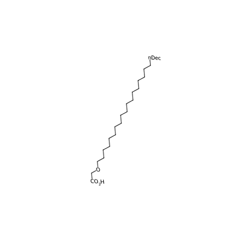 CCCCCCCCCCCCCCCCCCCCCCCCCCCCOCC(=O)O